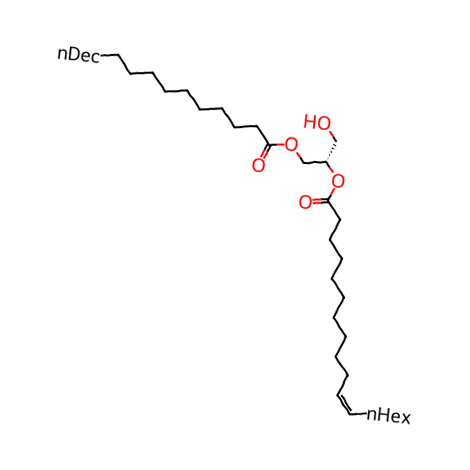 CCCCCC/C=C\CCCCCCCCCC(=O)O[C@@H](CO)COC(=O)CCCCCCCCCCCCCCCCCCC